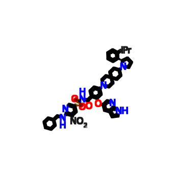 CC(C)c1ccccc1[C@@H]1CCCN1C1CCC2(CC1)CCN(c1ccc(C(=O)NS(=O)(=O)c3cnc(NCC4CCCCC4)c([N+](=O)[O-])c3)c(Oc3cnc4[nH]ccc4c3)c1)CC2